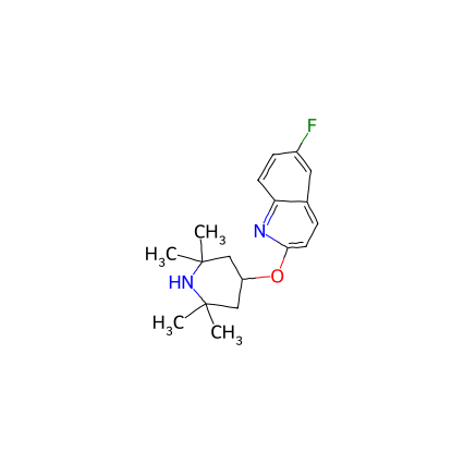 CC1(C)CC(Oc2ccc3cc(F)ccc3n2)CC(C)(C)N1